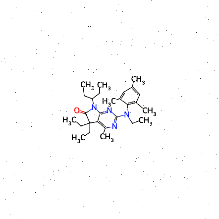 CCC(CC)N1C(=O)C(CC)(CC)c2c(C)nc(N(CC)c3c(C)cc(C)cc3C)nc21